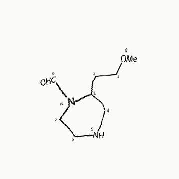 COCCC1CNCCN1[C]=O